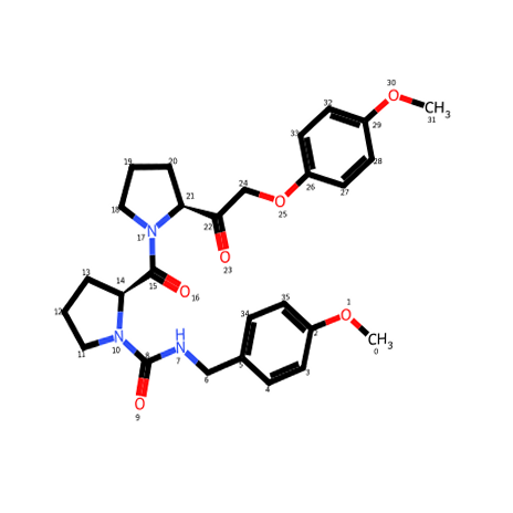 COc1ccc(CNC(=O)N2CCC[C@H]2C(=O)N2CCC[C@H]2C(=O)COc2ccc(OC)cc2)cc1